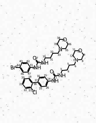 O=C(NCCCCN1CCOCC1)Nc1ccc(-c2ccccc2Cl)cc1.O=C(NCCCCN1CCOCC1)Nc1ccc(Br)cc1